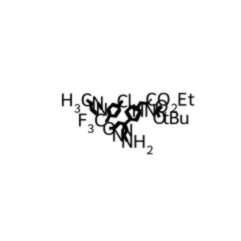 CCOC(=O)[C@H](Cc1ccc(-c2cc(OC(c3ccc(Cl)cc3-n3ccc(C)n3)C(F)(F)F)nc(N)n2)cc1)NC(=O)OC(C)(C)C